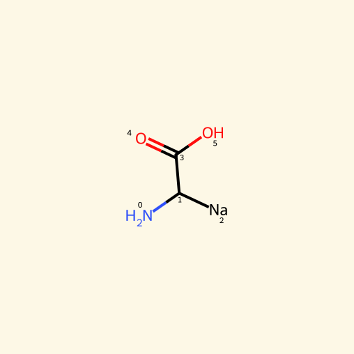 N[CH]([Na])C(=O)O